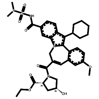 CCOC(=O)[C@H]1C[C@@H](O)CN1C(=O)C1=Cc2cc(OC)ccc2-c2c(C3CCCCC3)c3ccc(C(=O)NS(=O)(=O)N(C)C)cc3n2C1